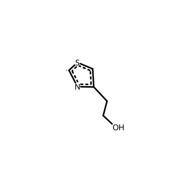 OCCc1cs[c]n1